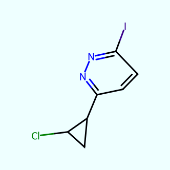 ClC1CC1c1ccc(I)nn1